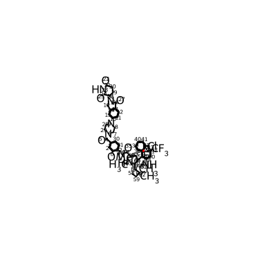 COc1cc(C(=O)N2CCN(c3ccc4c(c3)CN([C@H]3CCC(=O)NC3=O)C4=O)CC2)ccc1NC(=O)[C@H]1[C@H](c2cccc(Cl)c2F)[C@]2(CNc3cc(C(F)(F)F)ncc32)[C@H]([C@H]2CCC2(C)C)N1C